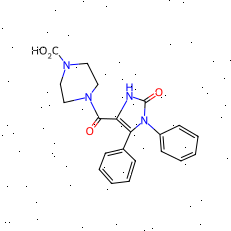 O=C(O)N1CCN(C(=O)c2[nH]c(=O)n(-c3ccccc3)c2-c2ccccc2)CC1